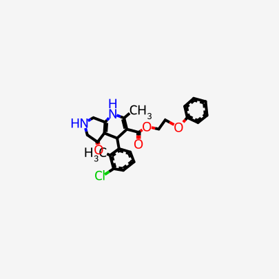 CC1=C(C(=O)OCCOc2ccccc2)C(c2cccc(Cl)c2C)C2=C(CNCC2=O)N1